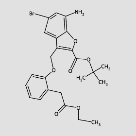 CCOC(=O)Cc1ccccc1OCc1c(C(=O)OC(C)(C)C)oc2c(N)cc(Br)cc12